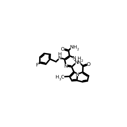 Cc1cc2cccc(C(N)=O)n2c1-c1nnc(C(N)=O)c(NCc2cccc(F)c2)n1